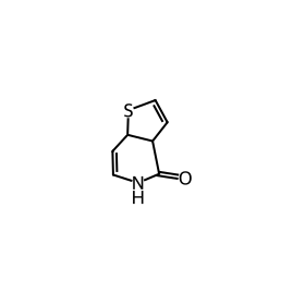 O=C1NC=CC2SC=CC12